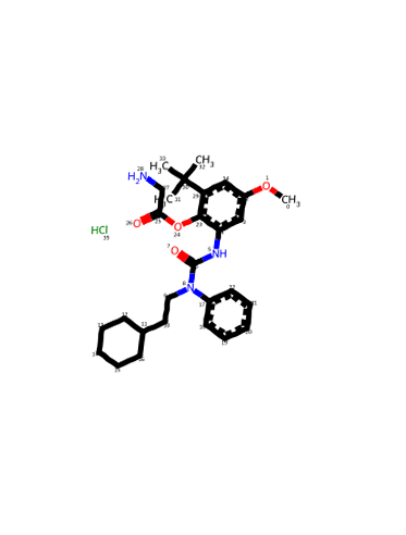 COc1cc(NC(=O)N(CCC2CCCCC2)c2ccccc2)c(OC(=O)CN)c(C(C)(C)C)c1.Cl